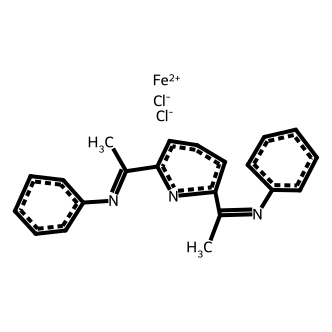 CC(=Nc1ccccc1)c1cccc(C(C)=Nc2ccccc2)n1.[Cl-].[Cl-].[Fe+2]